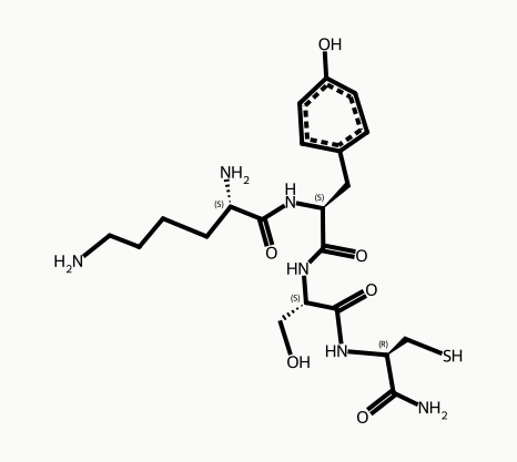 NCCCC[C@H](N)C(=O)N[C@@H](Cc1ccc(O)cc1)C(=O)N[C@@H](CO)C(=O)N[C@@H](CS)C(N)=O